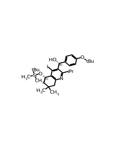 CC(C)c1nc2c(c(I)c1[C@H](O)c1ccc(OC(C)(C)C)cc1)[C@@H](O[Si](C)(C)C(C)(C)C)CC(C)(C)C2